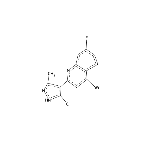 Cc1n[nH]c(Cl)c1-c1cc(C(C)C)c2ccc(F)cc2n1